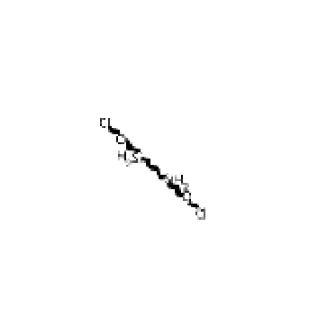 ClCCOC=CC[SiH2]CC=CC[SiH2]CC=COCCCl